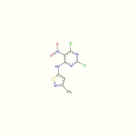 Cc1cc(Nc2nc(Cl)nc(Cl)c2[N+](=O)[O-])sn1